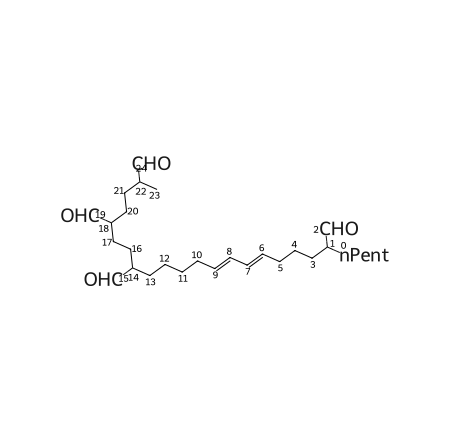 CCCCCC(C=O)CCCC=CC=CCCCCC(C=O)CCC(C=O)CCC(C)C=O